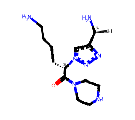 CC[C@H](N)c1cn([C@@H](CCCCN)C(=O)N2CCNCC2)nn1